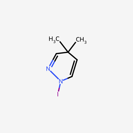 CC1(C)C=CN(I)N=C1